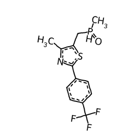 Cc1nc(-c2ccc(C(F)(F)F)cc2)sc1C[PH](C)=O